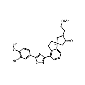 COCCN1C[C@@]2(CCc3c(-c4noc(-c5ccc(OC(C)C)c(C#N)c5)n4)cccc32)CC1=O